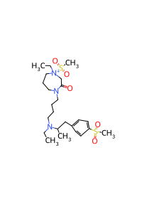 CCN(CCCCN1CCC[N+](CC)(S(C)(=O)=O)CC1=O)C(C)Cc1ccc(S(C)(=O)=O)cc1